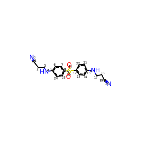 N#CCCNc1ccc(S(=O)(=O)c2ccc(NCCC#N)cc2)cc1